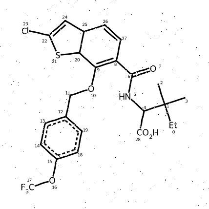 CCC(C)(C)C(NC(=O)C1=C(OCc2ccc(OC(F)(F)F)cc2)C2SC(Cl)=CC2C=C1)C(=O)O